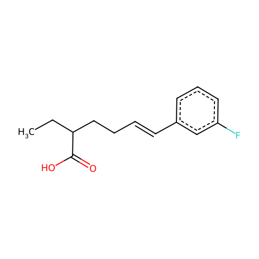 CCC(CCC=Cc1cccc(F)c1)C(=O)O